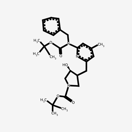 Cc1cc(CC2CN(C(=O)OC(C)(C)C)C[C@H]2O)nc(N(Cc2ccccc2)C(=O)OC(C)(C)C)c1